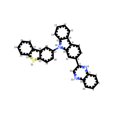 c1ccc2nc(-c3ccc4c5ccccc5n(-c5ccc6sc7ccccc7c6c5)c4c3)cnc2c1